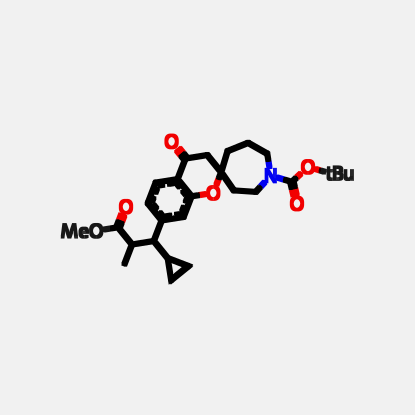 COC(=O)C(C)C(c1ccc2c(c1)OC1(CCCN(C(=O)OC(C)(C)C)CC1)CC2=O)C1CC1